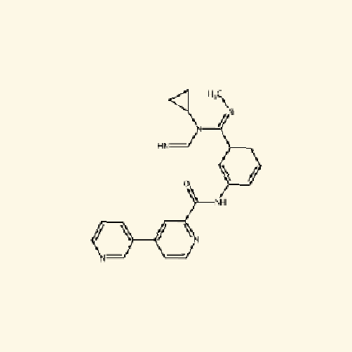 C/N=C(/C1C=C(NC(=O)c2cc(-c3cccnc3)ccn2)C=CC1)N(C=N)C1CC1